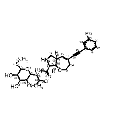 CSC1OC([C@H](NC(=O)[C@H]2NC[C@@H]3C=C(C#Cc4cccc(F)c4)CCO[C@@H]23)[C@H](C)Cl)C(O)C(O)C1O